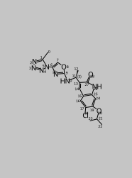 Cc1nnnn1-c1coc(N[C@@H](C)c2cc3cc(Cl)c(OC(C)C)cc3[nH]c2=O)n1